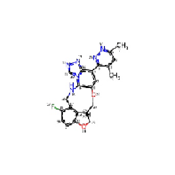 Cc1cc(C)c(-c2cc3c(n4cnnc24)NCc2c(F)ccc4c2[C@@H](CO4)CO3)nn1